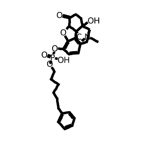 CN1CCC23c4c5ccc(OP(=O)(O)OCCCCCCc6ccccc6)c4OC2C(=O)CCC3(O)C1C5